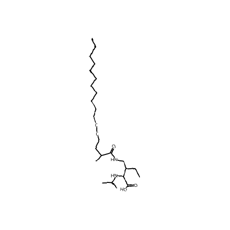 CCCCCCCCCCCCCCCC(C)C(=O)NCC(CC)C(NC(C)C)C(=O)O